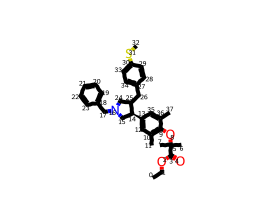 CCOC(=O)C(C)(C)Oc1c(C)cc([C@H]2CN(Cc3ccccc3)CC2Cc2ccc(SC)cc2)cc1C